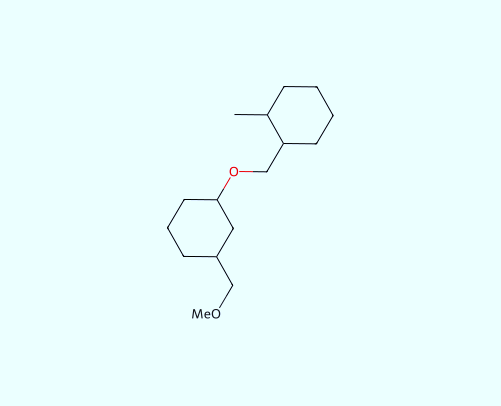 COCC1CCCC(OCC2CCCCC2C)C1